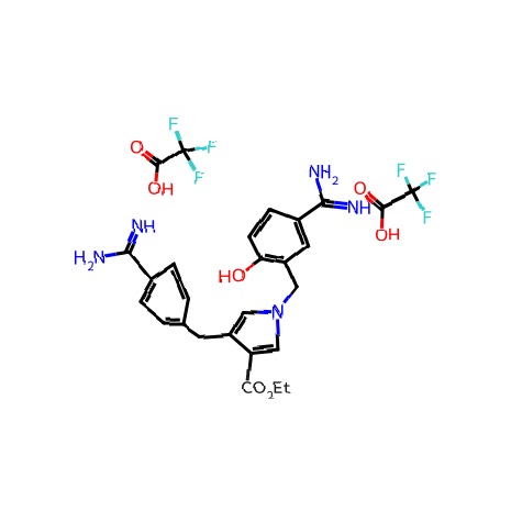 CCOC(=O)c1cn(Cc2cc(C(=N)N)ccc2O)cc1Cc1ccc(C(=N)N)cc1.O=C(O)C(F)(F)F.O=C(O)C(F)(F)F